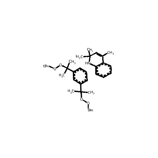 CC(C)(C)OOC(C)(C)c1cccc(C(C)(C)OOC(C)(C)C)c1.CC1=CC(C)(C)Nc2ccccc21